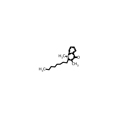 CCCCCCCCc1c(C)c(=O)c2ccccc2n1C